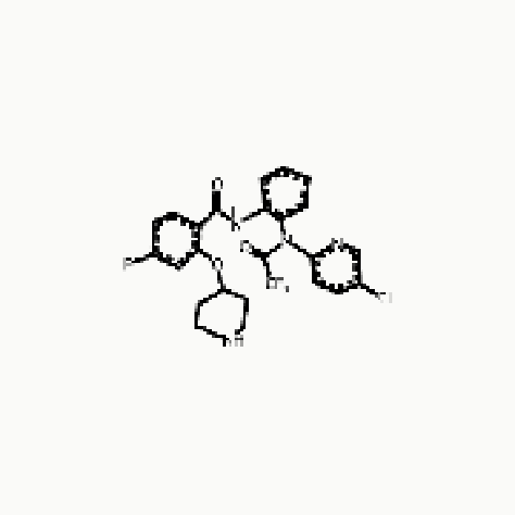 O=C(Nc1ccccc1N(C(=O)C(F)(F)F)c1ccc(Cl)cn1)c1ccc(F)cc1OC1CCNCC1